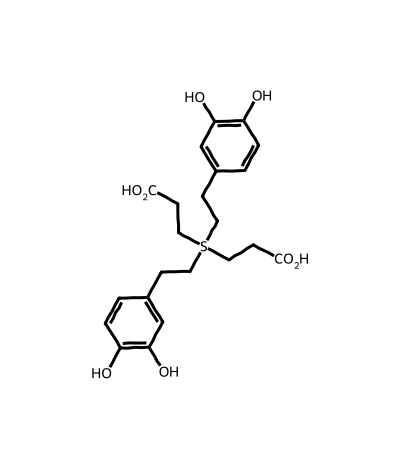 O=C(O)CCS(CCC(=O)O)(CCc1ccc(O)c(O)c1)CCc1ccc(O)c(O)c1